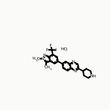 Cc1c2cc(-c3ccc4nc(C5CCNCC5)cnc4c3)cc(C(F)(F)F)c2nn1C.Cl